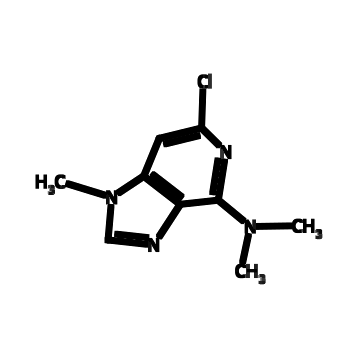 CN(C)c1nc(Cl)cc2c1ncn2C